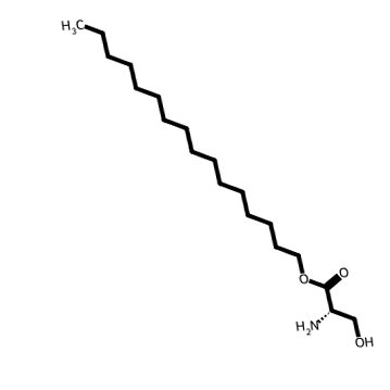 CCCCCCCCCCCCCCCCOC(=O)[C@@H](N)CO